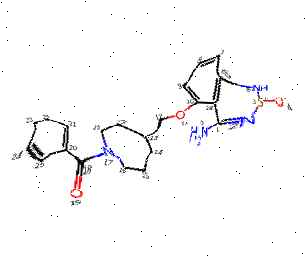 NC1=N[S+]([O-])Nc2cccc(OC[C@H]3CCCN(C(=O)C4=CCCC=C4)CC3)c21